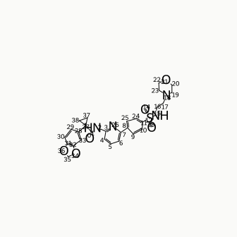 O=C(Nc1cccc(-c2ccc(S(=O)(=O)NCCN3CCOCC3)cc2)n1)C1(c2ccc3c(c2)OCO3)CC1